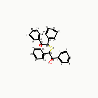 O=C(c1ccccc1)C(SC(C(=O)c1ccccc1)c1ccccc1)c1ccccc1